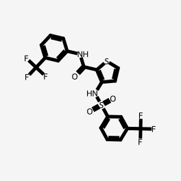 O=C(Nc1cccc(C(F)(F)F)c1)c1sccc1NS(=O)(=O)c1cccc(C(F)(F)F)c1